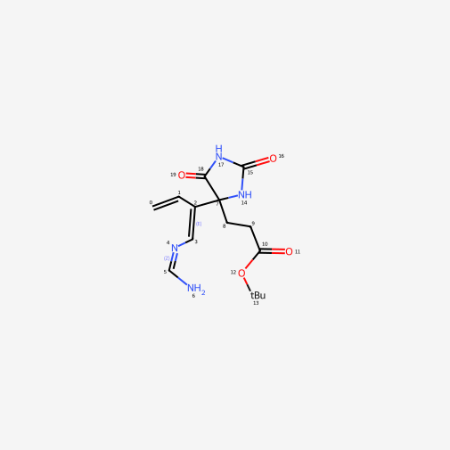 C=C/C(=C\N=C/N)C1(CCC(=O)OC(C)(C)C)NC(=O)NC1=O